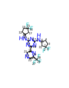 FC1(F)CC[C@H](Nc2nc(N[C@H]3CCC(F)(F)C3)nc(-c3cncc(C(F)(F)F)n3)n2)C1